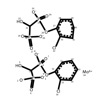 O=P([O-])([O-])C(O)P(=O)([O-])Oc1ccccc1Cl.O=P([O-])([O-])C(O)P(=O)([O-])Oc1ccccc1Cl.[Mo+6]